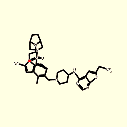 C=CS(=O)(=O)N1CC2CCC(C1)N2CCn1c(C#N)cc2c(C)c(CN3CCC(Nc4ncnc5sc(CC(F)(F)F)cc45)CC3)ccc21